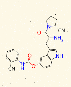 N#Cc1ccccc1NC(=O)Oc1ccc2[nH]cc(CC(N)C(=O)N3CCCC3C#N)c2c1